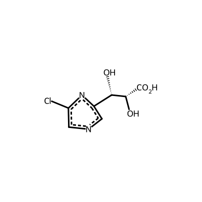 O=C(O)[C@H](O)[C@@H](O)c1cncc(Cl)n1